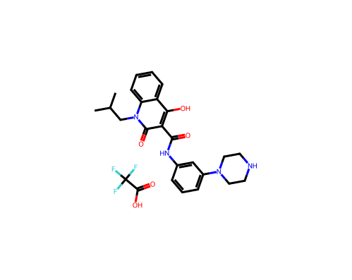 CC(C)Cn1c(=O)c(C(=O)Nc2cccc(N3CCNCC3)c2)c(O)c2ccccc21.O=C(O)C(F)(F)F